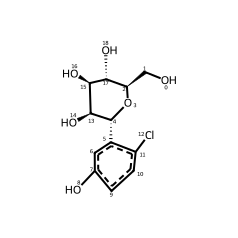 OC[C@H]1O[C@H](c2cc(O)ccc2Cl)[C@@H](O)[C@@H](O)[C@@H]1O